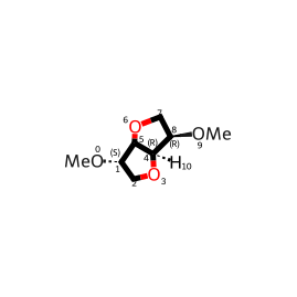 CO[C@H]1CO[C@H]2C1OC[C@H]2OC